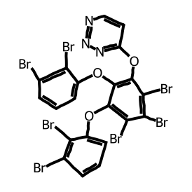 Brc1cccc(Oc2c(Br)c(Br)c(Br)c(Oc3ccnnn3)c2Oc2cccc(Br)c2Br)c1Br